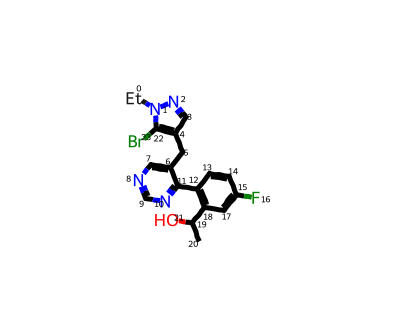 CCn1ncc(Cc2cncnc2-c2ccc(F)cc2C(C)O)c1Br